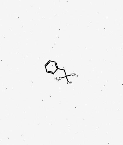 CC(C)(O)Cc1[c]cccc1